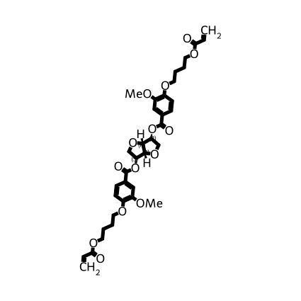 C=CC(=O)OCCCCOc1ccc(C(=O)O[C@H]2CO[C@H]3[C@@H]2OC[C@H]3OC(=O)c2ccc(OCCCCOC(=O)C=C)c(OC)c2)cc1OC